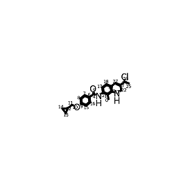 Cc1c(NC(=O)c2ccc(OCC3CC3)cc2)ccc2c1NCC(C(C)Cl)=C2